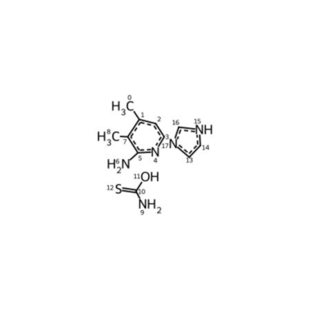 Cc1ccnc(N)c1C.NC(O)=S.c1c[nH]cn1